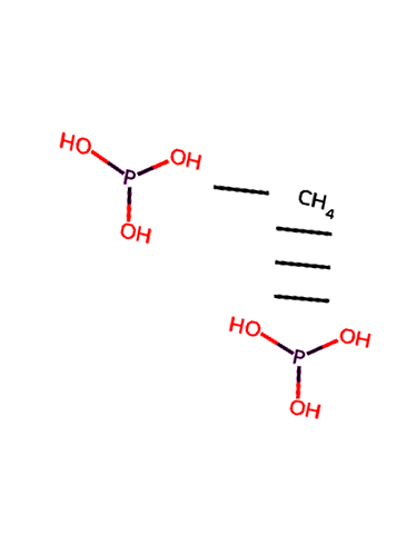 C.CC.CC.CC.CC.OP(O)O.OP(O)O